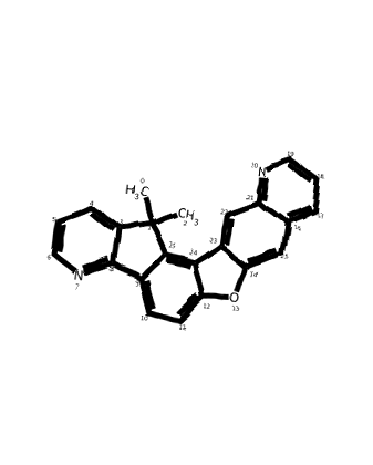 CC1(C)c2cccnc2-c2ccc3oc4cc5cccnc5cc4c3c21